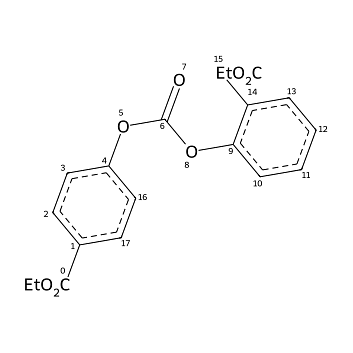 CCOC(=O)c1ccc(OC(=O)Oc2ccccc2C(=O)OCC)cc1